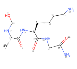 CC(C)[C@H](NCO)C(=O)N[C@@H](CCCCN)C(=O)NCC(N)=O